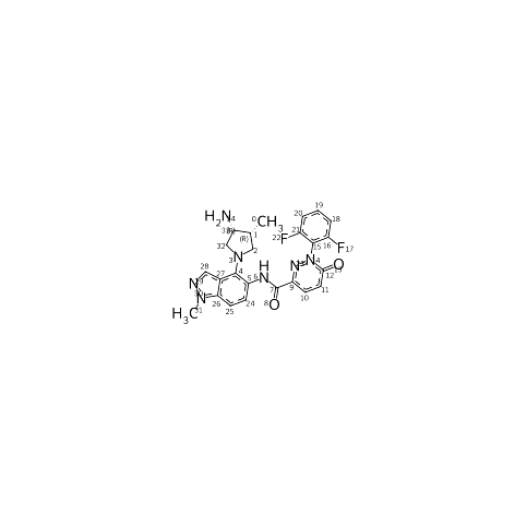 C[C@@H]1CN(c2c(NC(=O)c3ccc(=O)n(-c4c(F)cccc4F)n3)ccc3c2cnn3C)C[C@@H]1N